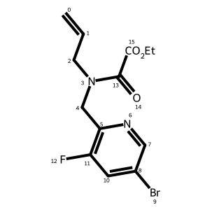 C=CCN(Cc1ncc(Br)cc1F)C(=O)C(=O)OCC